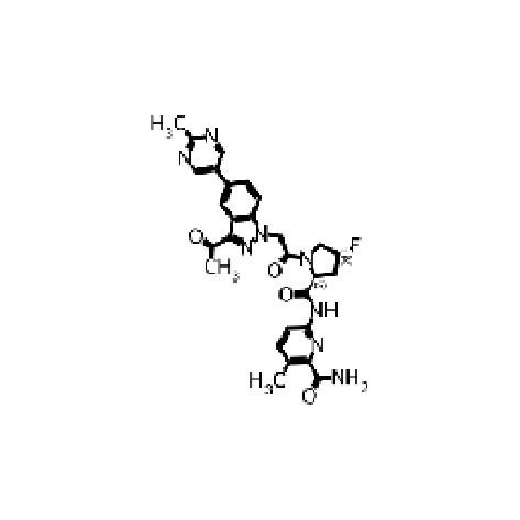 CC(=O)c1nn(CC(=O)N2C[C@H](F)C[C@H]2C(=O)Nc2ccc(C)c(C(N)=O)n2)c2ccc(-c3cnc(C)nc3)cc12